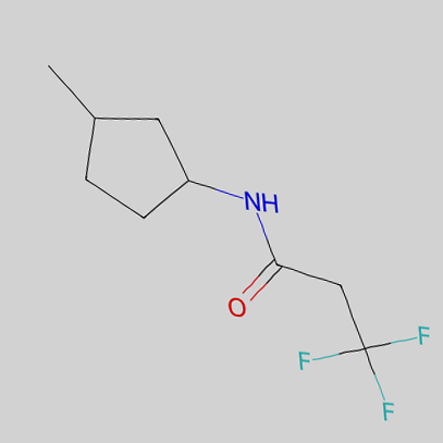 CC1CCC(NC(=O)CC(F)(F)F)C1